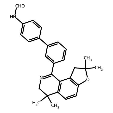 CC1(C)Cc2c(ccc3c2C(c2cccc(-c4ccc(NC=O)cc4)c2)=NCC3(C)C)O1